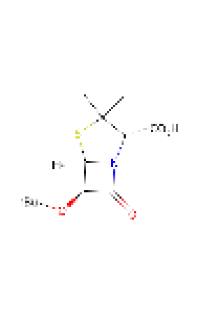 CCCCO[C@@H]1C(=O)N2[C@@H]1SC(C)(C)[C@@H]2C(=O)O